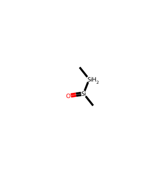 C[SiH2][Si](C)=O